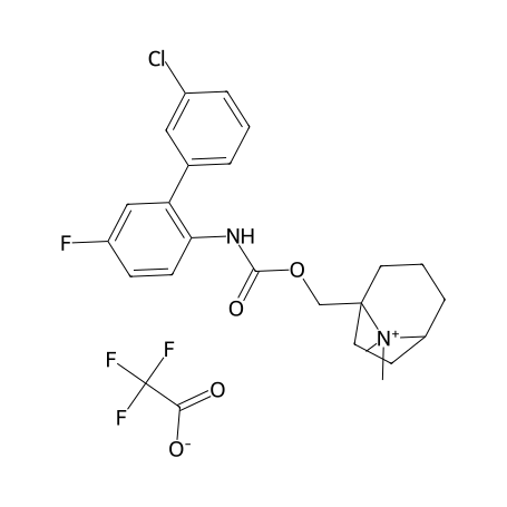 C[N+]1(C)C2CCCC1(COC(=O)Nc1ccc(F)cc1-c1cccc(Cl)c1)CC2.O=C([O-])C(F)(F)F